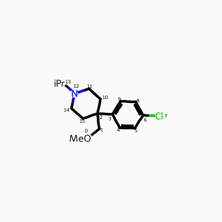 COCC1(c2ccc(Cl)cc2)CCN(C(C)C)CC1